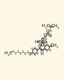 CCCCCCCCOc1ccc(C(=O)Nc2ccc(C)cc2OP(=O)(O)OCOC(=O)OCC(C)C)cc1